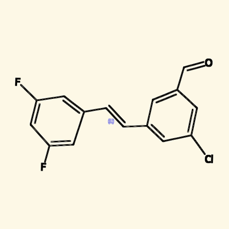 O=Cc1cc(Cl)cc(/C=C/c2cc(F)cc(F)c2)c1